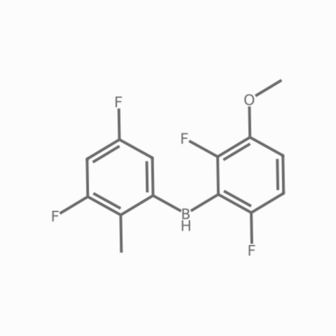 COc1ccc(F)c(Bc2cc(F)cc(F)c2C)c1F